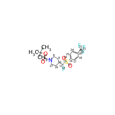 CC(C)(C)OC(=O)N1CCC(C(F)S(=O)(=O)c2ccc(C(F)(F)F)cc2)CC1